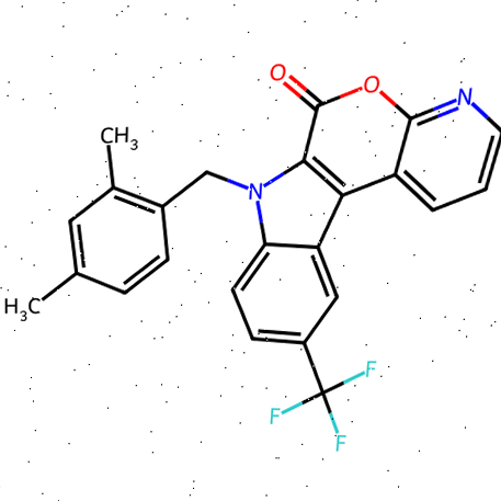 Cc1ccc(Cn2c3ccc(C(F)(F)F)cc3c3c4cccnc4oc(=O)c32)c(C)c1